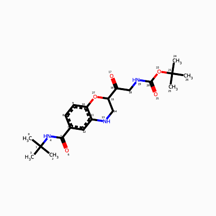 CC(C)(C)NC(=O)c1ccc2c(c1)NCC(C(=O)CNC(=O)OC(C)(C)C)O2